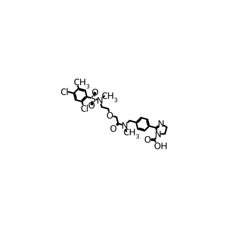 Cc1cc(S(=O)(=O)N(C)CCOCC(=O)N(C)Cc2ccc(C3=NCCN3C(=O)O)cc2)c(Cl)cc1Cl